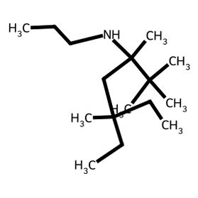 CCCNC(C)(CC(C)(CC)CC)C(C)(C)C